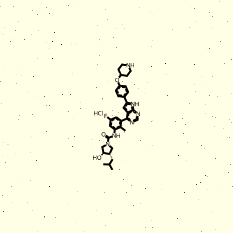 Cc1c(NC(=O)N2C[C@H](CC(C)C)[C@@H](O)C2)cc(F)cc1-c1ncnc2[nH]c(-c3ccc(OC4CCNCC4)cc3)cc12.Cl